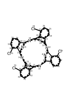 Clc1cccc2c1-c1nc-2nc2[nH]c(nc3nc(nc4[nH]c(n1)c1cccc(Cl)c41)-c1cccc(Cl)c1-3)c1c(Cl)cccc21